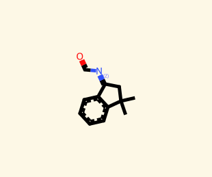 CC1(C)C/C(=N/C=O)c2ccccc21